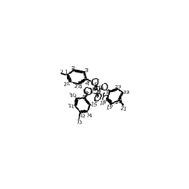 Cc1ccc(O[Si](O)(Oc2ccc(C)cc2)Oc2ccc(C)cc2)cc1